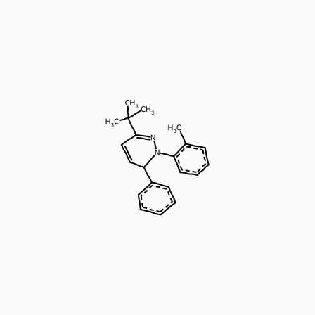 Cc1ccccc1N1N=C(C(C)(C)C)C=CC1c1ccccc1